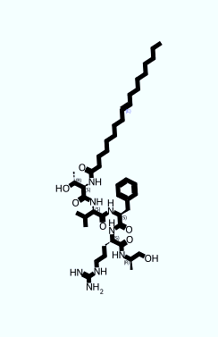 CCCCCCCC/C=C/CCCCCCCC(=O)N[C@H](C(=O)N[C@H](C(=O)N[C@@H](Cc1ccccc1)C(=O)N[C@@H](CCCNC(=N)N)C(=O)N[C@H](C)CO)C(C)C)[C@@H](C)O